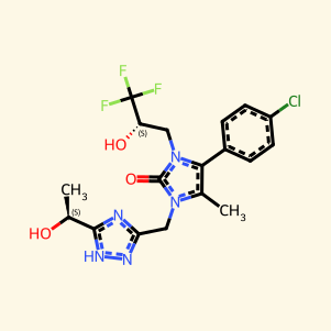 Cc1c(-c2ccc(Cl)cc2)n(C[C@H](O)C(F)(F)F)c(=O)n1Cc1n[nH]c([C@H](C)O)n1